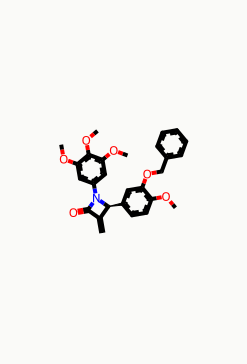 C=C1C(=O)N(c2cc(OC)c(OC)c(OC)c2)[C@H]1c1ccc(OC)c(OCc2ccccc2)c1